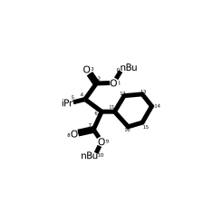 CCCCOC(=O)C(C(C)C)C(C(=O)OCCCC)C1CCCCC1